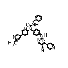 Cn1cc(-c2ccc(N(C(=O)NCc3ccccc3)c3ccc(Nc4ncc(C#N)c(-c5ccncc5)n4)cc3)nc2)cn1